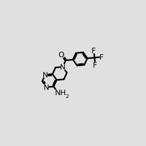 Nc1ncnc2c1CCN(C(=O)c1ccc(C(F)(F)F)cc1)C2